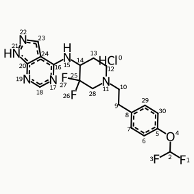 Cl.FC(F)Oc1ccc(CCN2CCC(Nc3ncnc4[nH]ncc34)C(F)(F)C2)cc1